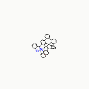 c1ccc(-c2nc(-c3ccc4c(c3)C3(c5ccccc5-c5ccccc5-4)c4ccccc4-c4c3ccc3ccccc43)c3ccccc3n2)cc1